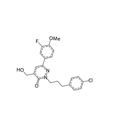 COc1ccc(-c2cc(CO)c(=O)n(CCCc3ccc(Cl)cc3)n2)cc1F